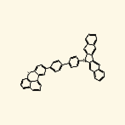 c1ccc2cc3c(cc2c1)c1cc2ccccc2cc1n3-c1ccc(-c2ccc(-c3ccc4c(c3)-c3cccc5cccc(c35)S4)cc2)cc1